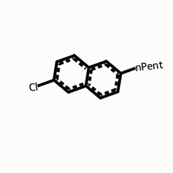 [CH2]CCCCc1ccc2cc(Cl)ccc2c1